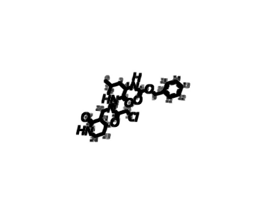 CC(C)CC(NC(=O)OCc1ccccc1)C(=O)NN(CC1CCCNC1=O)C(=O)CCl